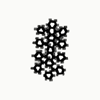 c1ccc(N(c2ccccc2)c2cc3c4c(c2)N(c2ccccc2)c2cc5c(cc2B4c2ccccc2N3c2ccccc2)N(c2ccccc2)c2cc3c4c6c2B5c2ccccc2N6c2ccccc2B4c2ccccc2N3c2ccccc2)cc1